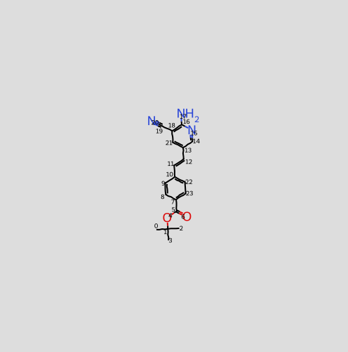 CC(C)(C)OC(=O)c1ccc(C=Cc2cnc(N)c(C#N)c2)cc1